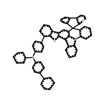 c1ccc(-c2ccc(N(c3ccccc3)c3ccc(-c4cccc5c4sc4c5cc5c6c4c4ccccc4n6-c4ccccc4C54c5ccccc5-c5ccccc54)cc3)cc2)cc1